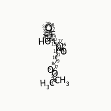 CC(C)COC(=O)CCCCCCN1C(=O)CC[C@@H]1C=C[C@@H](O)C(F)(F)c1ccccc1